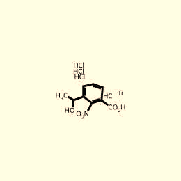 CC(O)c1cccc(C(=O)O)c1[N+](=O)[O-].Cl.Cl.Cl.Cl.[Ti]